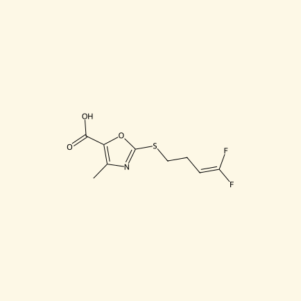 Cc1nc(SCCC=C(F)F)oc1C(=O)O